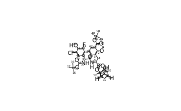 COc1c(CC(NC(=O)C(NC(=O)OC(C)(C)C)c2cc(F)c(O)c(Cl)c2)B2O[C@@H]3C[C@@H]4C[C@@H](C4(C)C)[C@]3(C)O2)cccc1C(=O)OC(C)(C)C